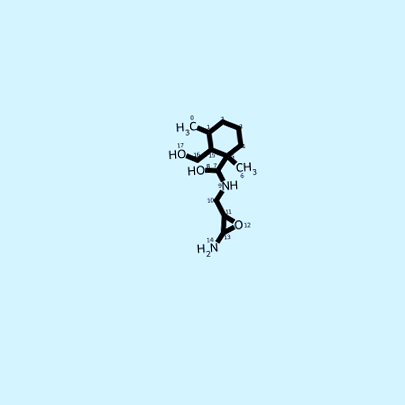 CC1CCCC(C)(C(O)NCC2OC2N)C1CO